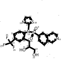 O=S(=O)(c1ccc2cnccc2c1)N(c1nccs1)c1ccc(C(F)(F)F)cc1CC(O)CO